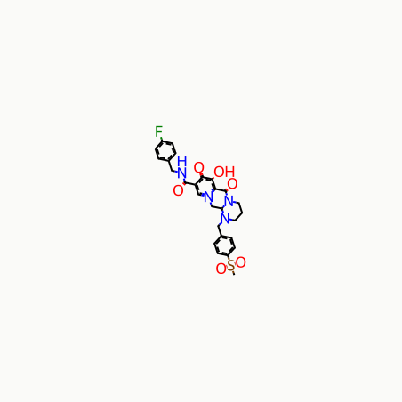 CS(=O)(=O)c1ccc(CN2CCCN3C(=O)c4c(O)c(=O)c(C(=O)NCc5ccc(F)cc5)cn4CC23)cc1